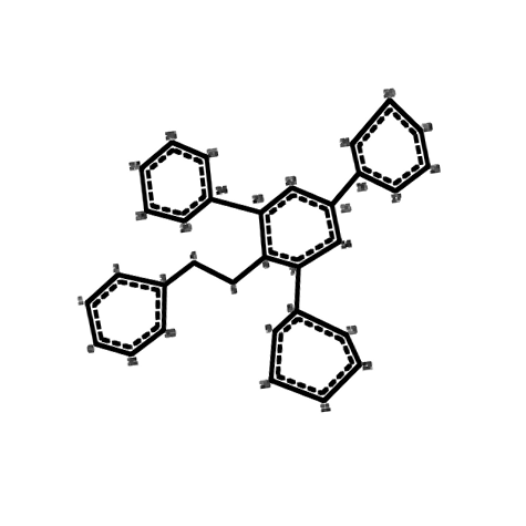 c1ccc(CCc2c(-c3ccccc3)cc(-c3ccccc3)cc2-c2ccccc2)cc1